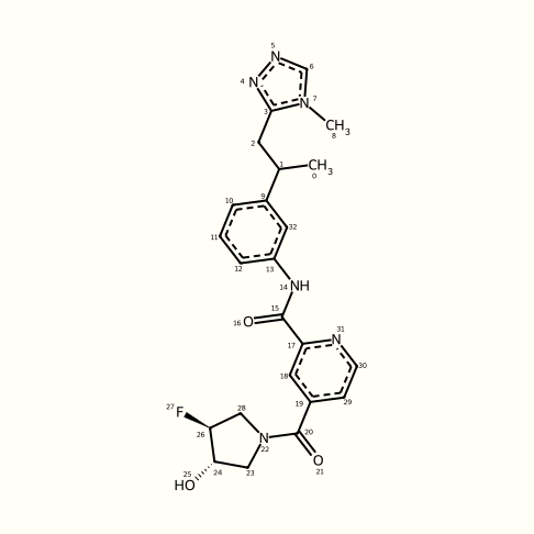 CC(Cc1nncn1C)c1cccc(NC(=O)c2cc(C(=O)N3C[C@H](O)[C@@H](F)C3)ccn2)c1